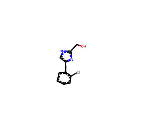 CCc1ccccc1-c1c[nH]c(CO)n1